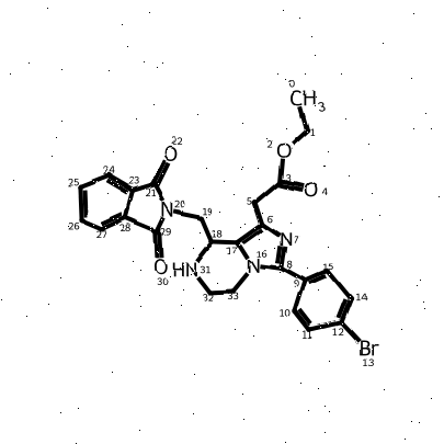 CCOC(=O)Cc1nc(-c2ccc(Br)cc2)n2c1C(CN1C(=O)c3ccccc3C1=O)NCC2